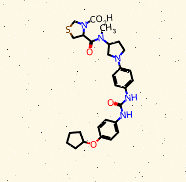 CN(C(=O)C1CSCN1C(=O)O)C1CCN(c2ccc(NC(=O)Nc3ccc(OC4CCCC4)cc3)cc2)C1